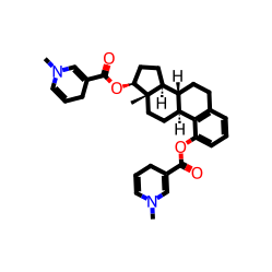 CN1C=CCC(C(=O)Oc2cccc3c2[C@H]2CC[C@]4(C)[C@@H](OC(=O)C5=CN(C)C=CC5)CC[C@H]4[C@@H]2CC3)=C1